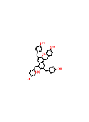 Oc1ccc(Cc2cc3c(Cc4ccc(O)cc4)c(O)c(Cc4ccc(O)cc4)cc3c(Cc3ccc(O)cc3)c2O)cc1